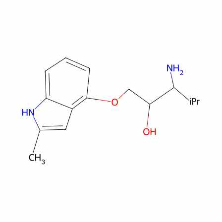 Cc1cc2c(OCC(O)C(N)C(C)C)cccc2[nH]1